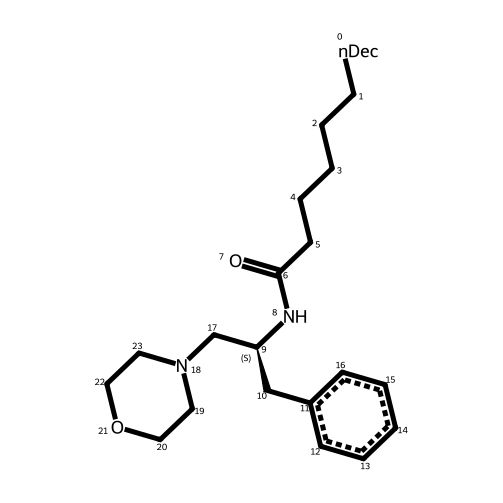 CCCCCCCCCCCCCCCC(=O)N[C@@H](Cc1ccccc1)CN1CCOCC1